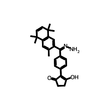 Cc1cc2c(cc1/C(=N/N)c1ccc(C3=C(O)CCC3=O)cc1)C(C)(C)C=CC2(C)C